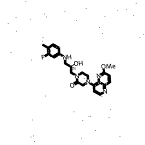 COc1ccc2nccc(N3CCN(C[C@@H](O)CNc4ccc(C)c(F)c4)C(=O)C3)c2n1